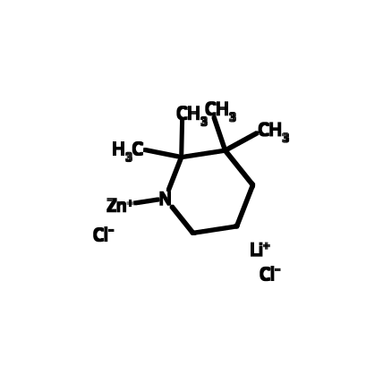 CC1(C)CCC[N]([Zn+])C1(C)C.[Cl-].[Cl-].[Li+]